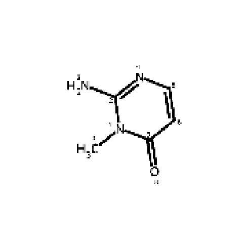 Cn1c(N)nccc1=O